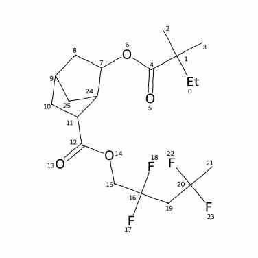 CCC(C)(C)C(=O)OC1CC2CC(C(=O)OCC(F)(F)CC(C)(F)F)C1C2